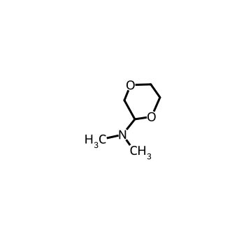 CN(C)C1COCCO1